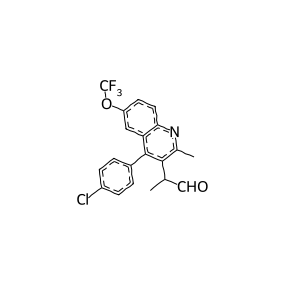 Cc1nc2ccc(OC(F)(F)F)cc2c(-c2ccc(Cl)cc2)c1C(C)C=O